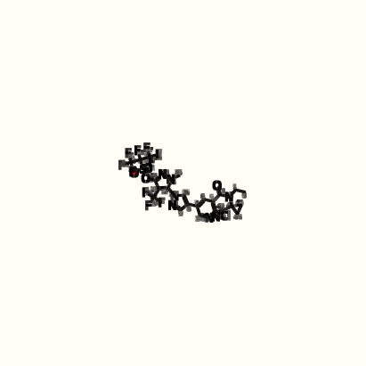 CCN(C(=O)c1cc(-c2cnn(-c3c(C(F)(F)F)c(OS(=O)(=O)C(F)(C(F)(F)F)C(F)(F)F)nn3C)c2)cnc1Cl)C1(C#N)CC1